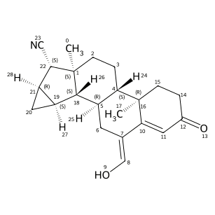 C[C@]12CC[C@H]3[C@@H](CC(=CO)C4=CC(=O)CC[C@@]43C)[C@@H]1[C@H]1C[C@H]1[C@@H]2C#N